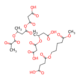 CC(=O)C(=O)OC(C)CC(=O)OC(=O)CC(=O)O.CC(CC(=O)O)OC(=O)CC(=O)O.COC(=O)CCCCOC(=O)CCC(=O)O